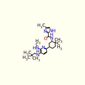 CNc1nc(C2CCC(C)(C)C(NC(=O)c3nc(C)c[nH]3)C2)ccc1NCC(C)(C)C